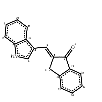 O=C1C(=Cc2c[nH]c3ccccc23)Sc2ccccc21